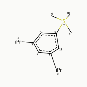 CC(C)c1cc(C(C)C)cc(S(C)(C)C)c1